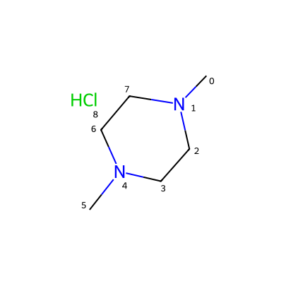 CN1CCN(C)CC1.Cl